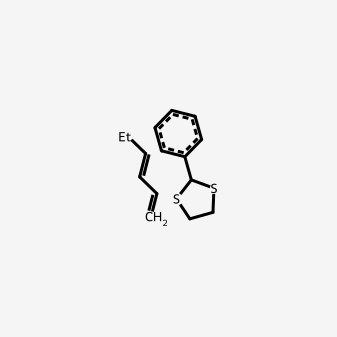 C=CC=CCC.c1ccc(C2SCCS2)cc1